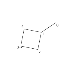 CC1C[C]C1